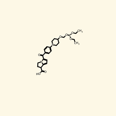 CCOP(OCC)OCOC1CCN(c2ccc(C(=O)c3ccc4n3CCC4C(=O)O)cc2)CC1